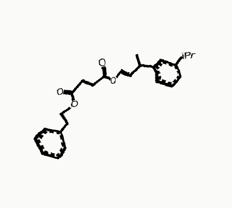 CC(C)c1cccc(C(C)C=COC(=O)CCC(=O)OCCc2ccccc2)c1